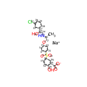 C[C@H](COc1ccc(S(=O)(=O)c2ccc(O)c(C(=O)[O-])c2)cc1)NC[C@H](O)c1cccc(Cl)c1.[Na+]